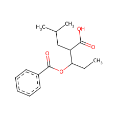 CCC(OC(=O)c1ccccc1)C(CC(C)C)C(=O)O